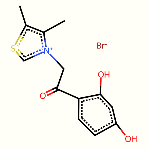 Cc1sc[n+](CC(=O)c2ccc(O)cc2O)c1C.[Br-]